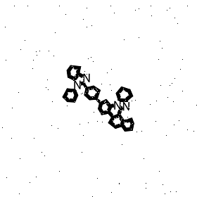 c1ccc(-n2c(-c3ccc(-c4ccc5c6ccc7ccccc7c6c6nc7ccccc7n6c5c4)cc3)nc3ccccc32)cc1